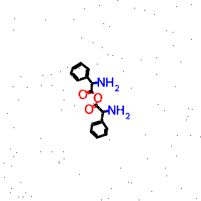 NC(C(=O)OC(=O)C(N)c1ccccc1)c1ccccc1